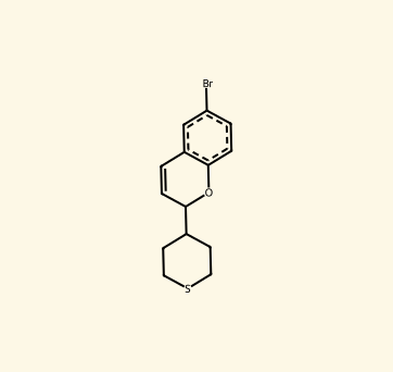 Brc1ccc2c(c1)C=CC(C1CCSCC1)O2